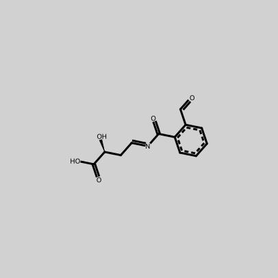 O=Cc1ccccc1C(=O)N=CC[C@H](O)C(=O)O